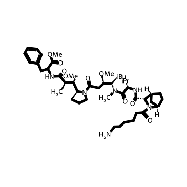 CC[C@H](C)[C@@H]([C@@H](CC(=O)N1CCC[C@H]1[C@H](OC)[C@@H](C)C(=O)NC(Cc1ccccc1)C(=O)OC)OC)N(C)C(=O)[C@@H](NC(=O)[C@@H]1[C@H]2CC[C@H](C2)N1C(=O)CCCCCN)C(C)C